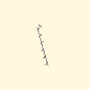 [2H]CC(C)=CCC/C(C)=C/CC/C(C)=C/CC/C=C(\C)CC/C=C(\C)CCC=C(C)C